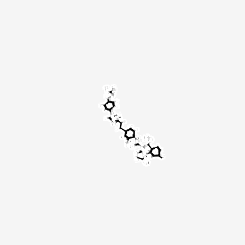 COCc1ccc(C)cc1N1C(=O)CS/C1=N\C(=O)Nc1ccc(CCc2ncn(-c3ccc(OC(F)(F)F)cc3)n2)cc1F